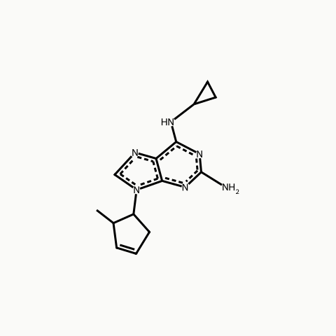 CC1C=CCC1n1cnc2c(NC3CC3)nc(N)nc21